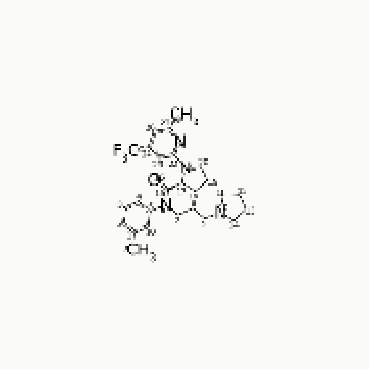 Cc1cccc(N(CCCN2CCCC2)C(=O)[C@@H]2CCCN2c2cc(C(F)(F)F)cc(C)n2)c1